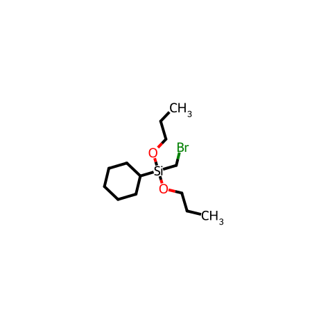 CCCO[Si](CBr)(OCCC)C1CCCCC1